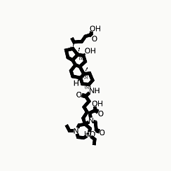 CCN1CCN(CC)CC(CCCCC(=O)N[C@H]2CC[C@]3(C)C4C[C@H](O)[C@@]5(C)C(CC[C@@H]5C(C)CCC(=O)O)C4CC[C@@H]3C2)(N(CC(=O)O)CC(=O)O)C1